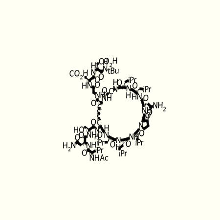 CC(=O)N[C@H](C(=O)N[C@@H](CC(N)=O)C(=O)N[C@@H](CO)C(=O)N[C@H]1CSSC[C@@H](C(=O)NCC(=O)N[C@@H](CC(=O)O)C(=O)N[C@@H](CC(=O)O)C(=O)NC(C)(C)C)NC(=O)CNC(=O)[C@H](CC(C)C)NC(=O)[C@H](CC(C)C)NC(=O)[C@H](CC(N)=O)NC(=O)[C@@H]2CCCN2C(=O)[C@H](CC(C)C)NC(=O)[C@H](CCC(C)C)NC(=O)[C@H](CC(C)C)NC1=O)C(C)C